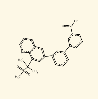 CC(C)(c1cc(-c2cccc(-c3cccc([N+](=O)[O-])c3)c2)cc2cccnc12)S(C)(=O)=O